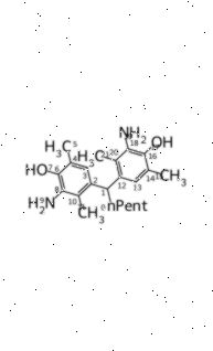 CCCCCC(c1cc(C)c(O)c(N)c1C)c1cc(C)c(O)c(N)c1C